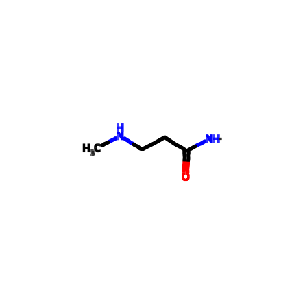 CNCCC([NH])=O